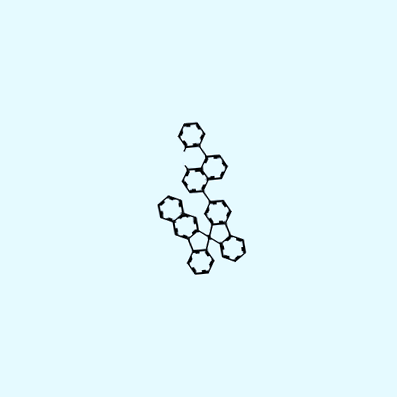 c1ccc2c(c1)Sc1ccc(-c3ccc4c(c3)C3(c5ccccc5-4)c4ccccc4-c4cc5ccccc5cc43)c3cccc-2c13